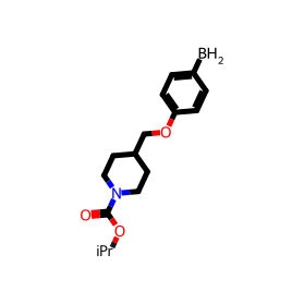 Bc1ccc(OCC2CCN(C(=O)OC(C)C)CC2)cc1